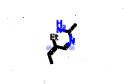 C/C=C(\C=N/C(C)N)CC